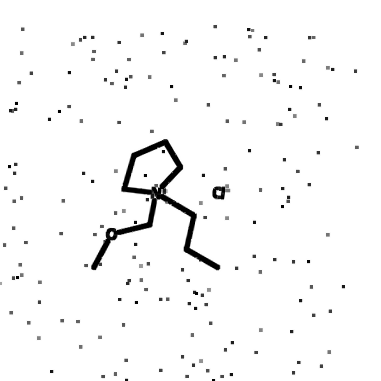 CCC[N+]1(COC)CCCC1.[Cl-]